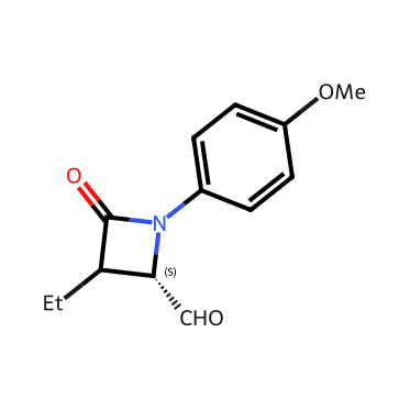 CCC1C(=O)N(c2ccc(OC)cc2)[C@@H]1C=O